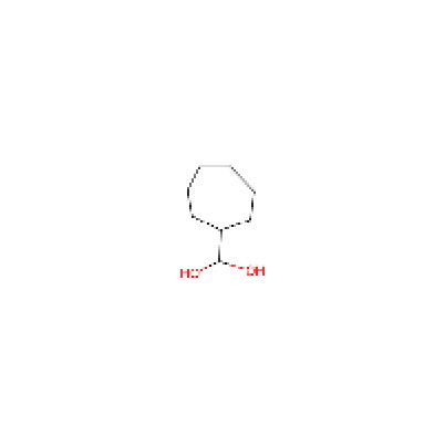 OC(O)C1CCCCCC1